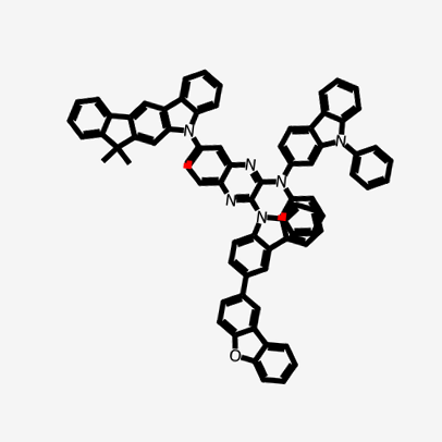 C=C(/C=c1/nc(N(c2ccccc2)c2ccc3c4ccccc4n(-c4ccccc4)c3c2)c(-n2c3ccccc3c3cc(-c4ccc5oc6ccccc6c5c4)ccc32)n/c1=C/C)n1c2ccccc2c2cc3c(cc21)C(C)(C)c1ccccc1-3